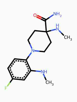 CNc1cc(F)ccc1N1CCC(NC)(C(N)=O)CC1